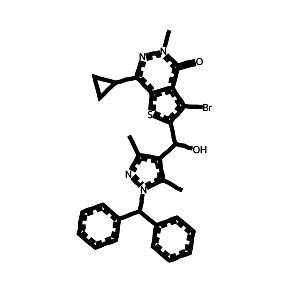 Cc1nn(C(c2ccccc2)c2ccccc2)c(C)c1C(O)c1sc2c(C3CC3)nn(C)c(=O)c2c1Br